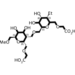 CC[C@@H]1C(COCC(=O)O)O[C@@H](COC[C@H]2C(O)C(O)[C@H](COC)O[C@H]2COCC(=O)O)C(O)[C@@H]1O